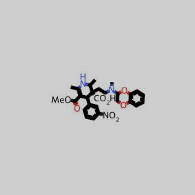 COC(=O)C1=C(C)NC(C)C(CCN(C)C2COc3ccccc3O2)(C(=O)O)C1c1cccc([N+](=O)[O-])c1